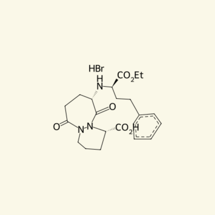 Br.CCOC(=O)[C@@H](CCc1ccccc1)N[C@H]1CCC(=O)N2CCC[C@@H](C(=O)O)N2C1=O